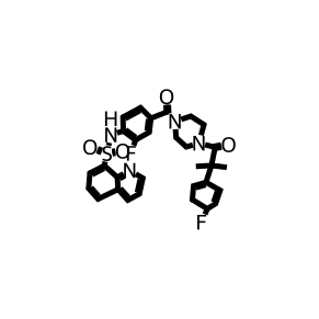 CC(C)(C(=O)N1CCN(C(=O)c2ccc(NS(=O)(=O)c3cccc4cccnc34)c(F)c2)CC1)C1=CCC(F)C=C1